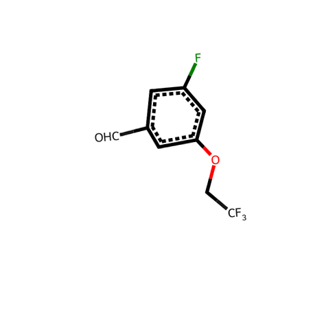 O=Cc1cc(F)cc(OCC(F)(F)F)c1